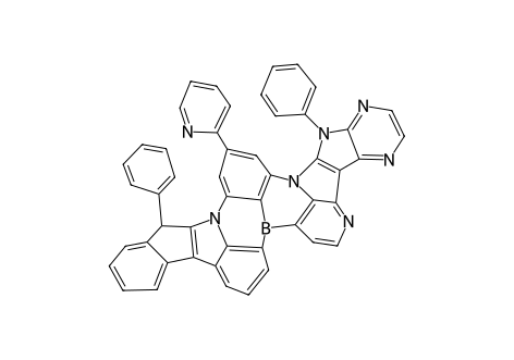 c1ccc(C2c3ccccc3-c3c2n2c4c(cccc34)B3c4c-2cc(-c2ccccn2)cc4-n2c4c3ccnc4c3c4nccnc4n(-c4ccccc4)c32)cc1